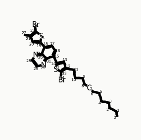 CCCCCCCCCCCCc1cc(-c2ccc(-c3cc(C)c(Br)s3)c3nccnc23)sc1Br